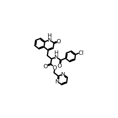 O=C(NC(Cc1cc(=O)[nH]c2ccccc12)C(=O)OCc1ncccn1)c1ccc(Cl)cc1